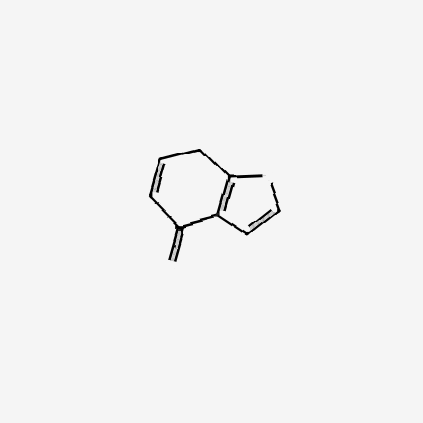 O=C1C=CCc2occc21